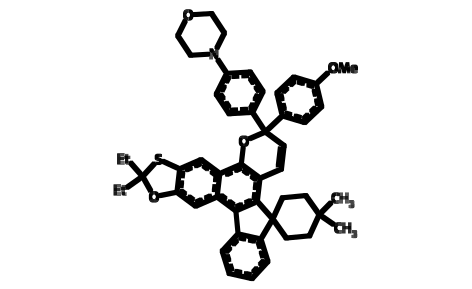 CCC1(CC)Oc2cc3c4c(c5c(c3cc2S1)OC(c1ccc(OC)cc1)(c1ccc(N2CCOCC2)cc1)C=C5)C1(CCC(C)(C)CC1)c1ccccc1-4